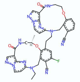 CCN1Cc2c(C#N)c(F)cc(CCN3Cc4c(C#N)cccc4OCCNC(=O)c4cnn5ccc3nc45)c2O[C@@H](C)CNC(=O)c2cnn3ccc1nc23